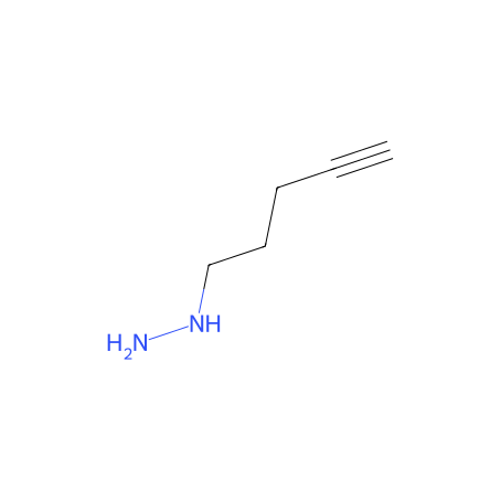 C#CCCCNN